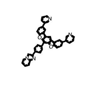 c1cncc(-c2ccc3oc4c(-c5ccc(-c6cn7ccccc7n6)cc5)c5oc6ccc(-c7cccnc7)cc6c5cc4c3c2)c1